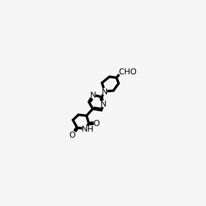 O=CC1CCN(c2ncc(C3CCC(=O)NC3=O)cn2)CC1